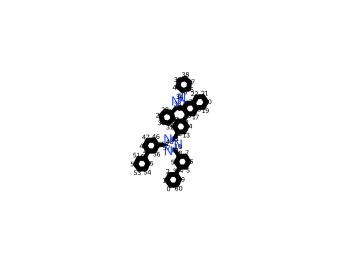 c1ccc(-c2cccc(-c3nc(-c4ccc(-c5cc6ccccc6c6c5c(-c5ccccc5)nn6-c5ccccc5)cc4)nc(-c4cccc(-c5ccccc5)c4)n3)c2)cc1